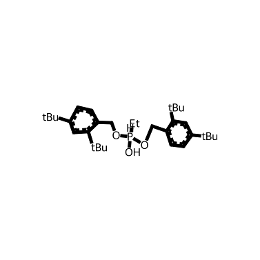 CC[PH](O)(OCc1ccc(C(C)(C)C)cc1C(C)(C)C)OCc1ccc(C(C)(C)C)cc1C(C)(C)C